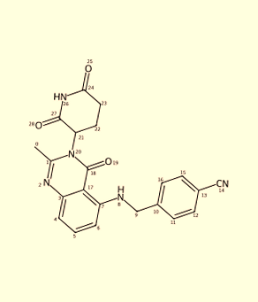 Cc1nc2cccc(NCc3ccc(C#N)cc3)c2c(=O)n1C1CCC(=O)NC1=O